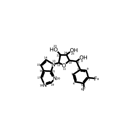 OC(c1ccc(F)c(F)c1)C1OC(n2ccc3cncnc32)C(O)C1O